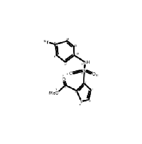 COC(=O)c1sccc1S(=O)(=O)Nc1ccc(F)cc1